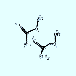 CCCOC(N)=S.CCOC(N)=S